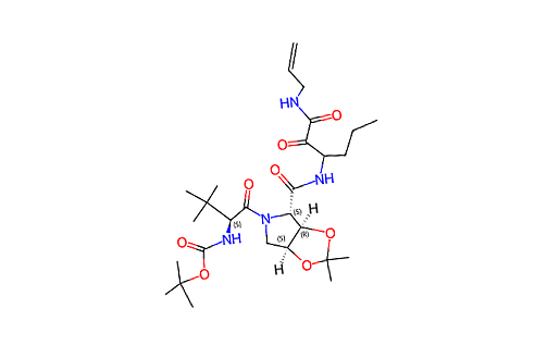 C=CCNC(=O)C(=O)C(CCC)NC(=O)[C@@H]1[C@H]2OC(C)(C)O[C@H]2CN1C(=O)[C@@H](NC(=O)OC(C)(C)C)C(C)(C)C